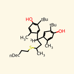 [2H]C(CC(C)SCCCCCCCCCCCC)(c1cc(C(C)(C)C)c(O)cc1C)c1cc(C(C)(C)C)c(O)cc1C